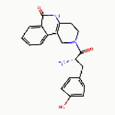 N[C@@H](Cc1ccc(O)cc1)C(=O)N1CCc2[nH]c(=O)c3ccccc3c2C1